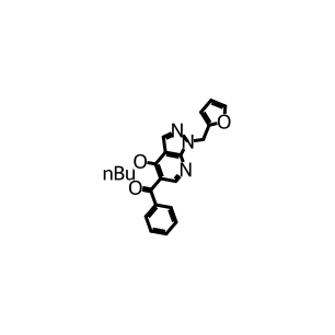 CCCCOc1c(C(=O)c2ccccc2)cnc2c1cnn2Cc1ccco1